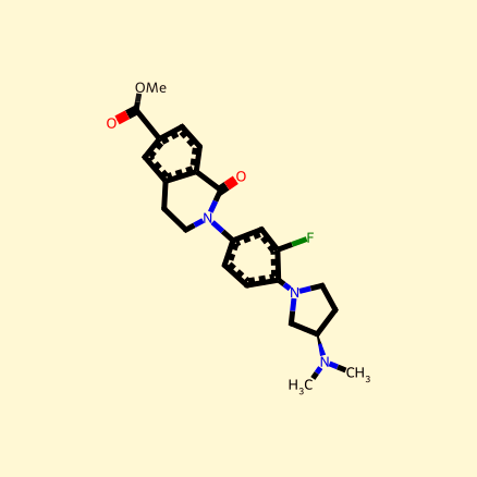 COC(=O)c1ccc2c(c1)CCN(c1ccc(N3CC[C@@H](N(C)C)C3)c(F)c1)C2=O